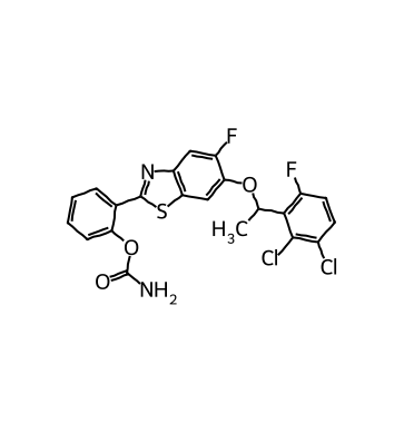 CC(Oc1cc2sc(-c3ccccc3OC(N)=O)nc2cc1F)c1c(F)ccc(Cl)c1Cl